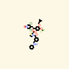 O=C(O[C@@H](Cc1c(Cl)c[n+]([O-])cc1Cl)c1ccc(OC(F)F)c(OCC2CC2)c1)[C@@H]1SCCN1C(=O)c1cccc(CNc2ccccc2)c1